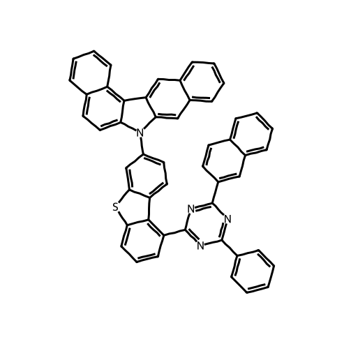 c1ccc(-c2nc(-c3ccc4ccccc4c3)nc(-c3cccc4sc5cc(-n6c7cc8ccccc8cc7c7c8ccccc8ccc76)ccc5c34)n2)cc1